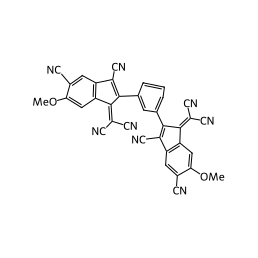 COc1cc2c(cc1C#N)C(C#N)=C(c1cccc(C3=C(C#N)c4cc(C#N)c(OC)cc4C3=C(C#N)C#N)c1)C2=C(C#N)C#N